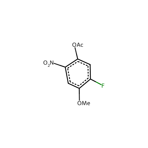 COc1cc([N+](=O)[O-])c(OC(C)=O)cc1F